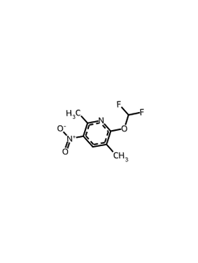 Cc1cc([N+](=O)[O-])c(C)nc1OC(F)F